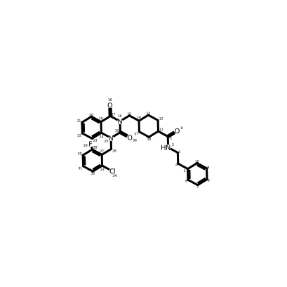 O=C(NCCc1ccccc1)C1CCC(Cn2c(=O)c3ccccc3n(Cc3c(F)cccc3Cl)c2=O)CC1